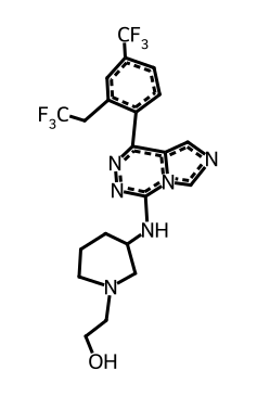 OCCN1CCCC(Nc2nnc(-c3ccc(C(F)(F)F)cc3CC(F)(F)F)c3cncn23)C1